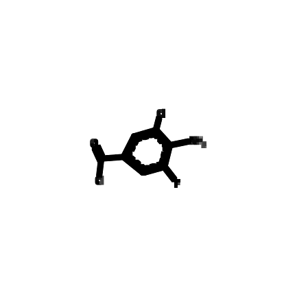 Nc1c(F)cc(C(=O)Cl)cc1Cl